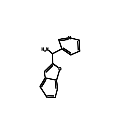 NC(c1cccnc1)c1cc2ccccc2o1